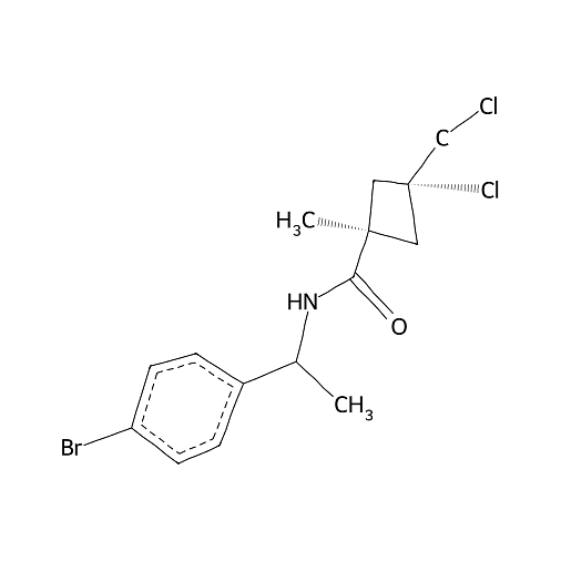 CC(NC(=O)[C@]1(C)C[C@](Cl)(CCl)C1)c1ccc(Br)cc1